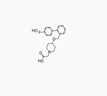 Cl.O=C(O)CN1CCC(OCc2ccccc2-c2ccc(F)cc2)CC1